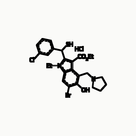 CCOC(=O)c1c(C(S)c2cccc(Cl)c2)n(CC)c2cc(Br)c(O)c(CN3CCCC3)c12.Cl